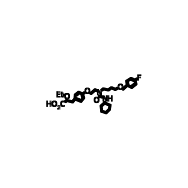 CCOC(Cc1ccc(OCCN(CCCCOCc2ccc(F)cc2)C(=O)NC2CCCCC2)cc1)C(=O)O